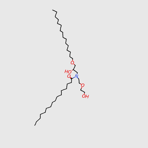 CCCCCCCCCCCCCCCCOCC(O)CN(CCOCCO)C(=O)CCCCCCCCCCCCCCC